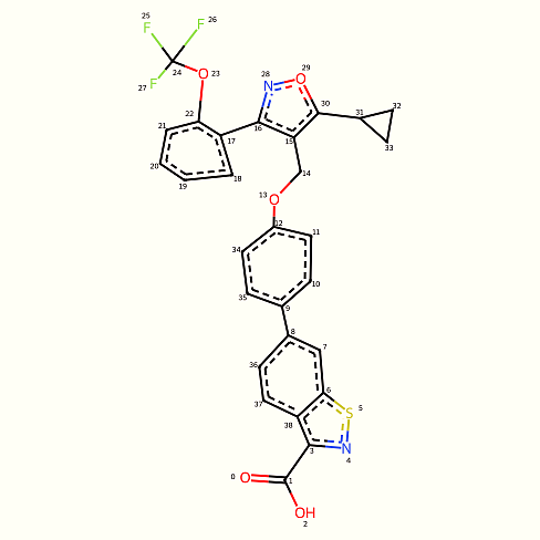 O=C(O)c1nsc2cc(-c3ccc(OCc4c(-c5ccccc5OC(F)(F)F)noc4C4CC4)cc3)ccc12